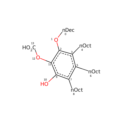 CCCCCCCCCCOc1c(CCCCCCCC)c(CCCCCCCC)c(CCCCCCCC)c(O)c1OC(=O)O